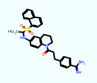 N=C(N)c1ccc(CCC(=O)N2CCCc3cc(NC(C(=O)O)S(=O)(=O)c4cccc5ccccc45)ccc32)cc1